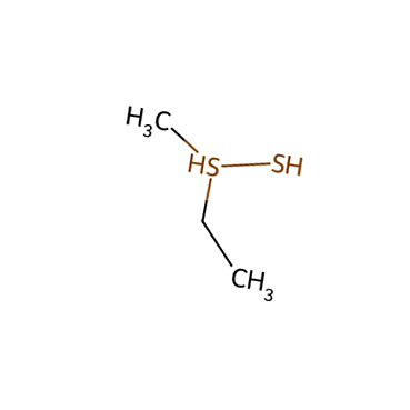 CC[SH](C)S